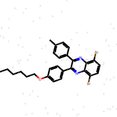 CCCCCCOc1ccc(-c2nc3c(Br)ccc(Br)c3nc2-c2ccc(C)cc2)cc1